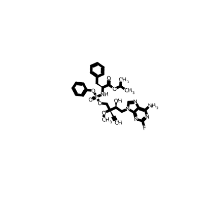 C#C[C@](COP(=O)(N[C@@H](Cc1ccccc1)C(=O)OC(C)C)Oc1ccccc1)(OC)[C@@H](O)Cn1cnc2c(N)nc(F)nc21